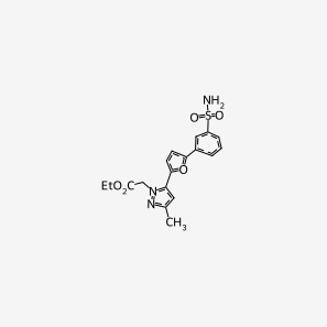 CCOC(=O)Cn1nc(C)cc1-c1ccc(-c2cccc(S(N)(=O)=O)c2)o1